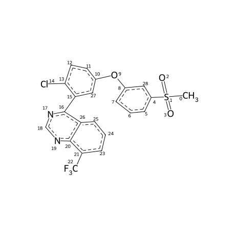 CS(=O)(=O)c1cccc(Oc2ccc(Cl)c(-c3ncnc4c(C(F)(F)F)cccc34)c2)c1